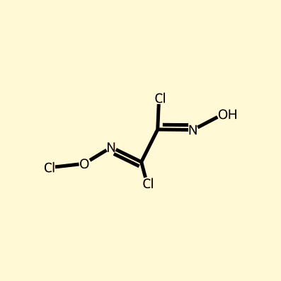 ON=C(Cl)C(Cl)=NOCl